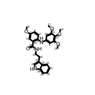 COc1ccc(Nc2cc(OC)c(OC)c(OC)c2)c(C(=O)NCCc2c[nH]c3ccccc23)c1